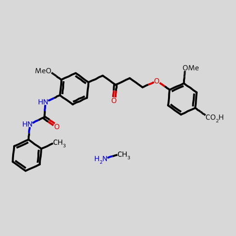 CN.COc1cc(CC(=O)CCOc2ccc(C(=O)O)cc2OC)ccc1NC(=O)Nc1ccccc1C